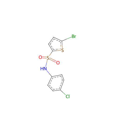 O=S(=O)(Nc1ccc(Cl)cc1)c1ccc(Br)s1